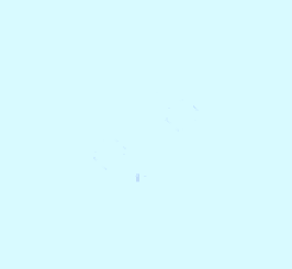 CC(C)c1ccccc1CCc1ccccc1I